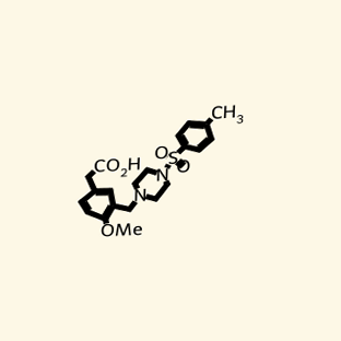 COc1ccc(CC(=O)O)cc1CN1CCN(S(=O)(=O)c2ccc(C)cc2)CC1